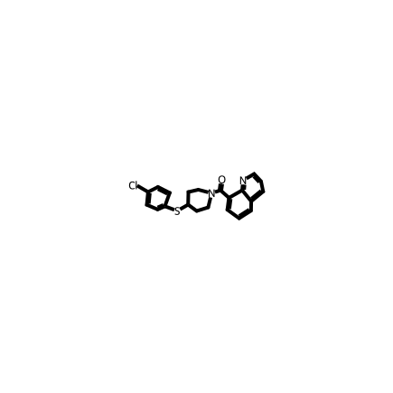 O=C(c1cccc2cccnc12)N1CCC(Sc2ccc(Cl)cc2)CC1